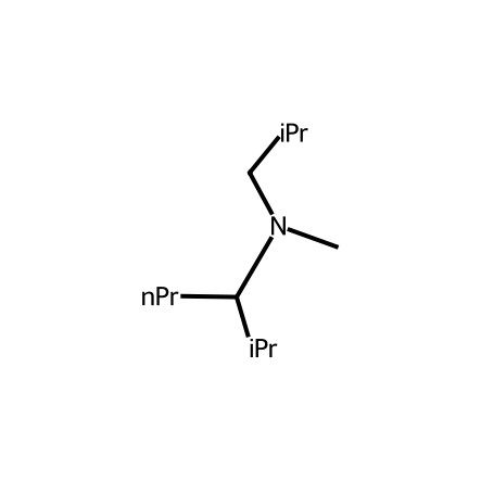 CCCC(C(C)C)N(C)CC(C)C